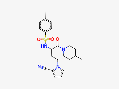 Cc1ccc(S(=O)(=O)NC(CCn2cccc2C#N)C(=O)N2CCC(C)CC2)cc1